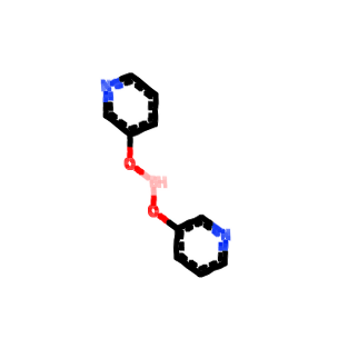 B(Oc1cccnc1)Oc1cccnc1